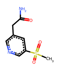 CS(=O)(=O)c1cncc(CC(N)=O)c1